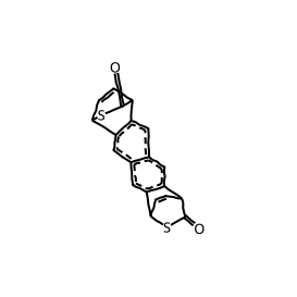 O=C1SC2C=CC1c1cc3cc4c(cc3cc12)C1C=CC4C(=O)S1